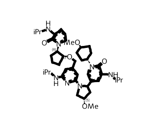 CO[C@H]1CC(c2cc(NC(C)C)c(=O)n([C@H]3CC[C@H](OC)CC3)c2)N(c2cc(CO[C@H]3CCC[C@H]3n3cccc(NC(C)C)c3=O)cc(NC(C)C)n2)C1